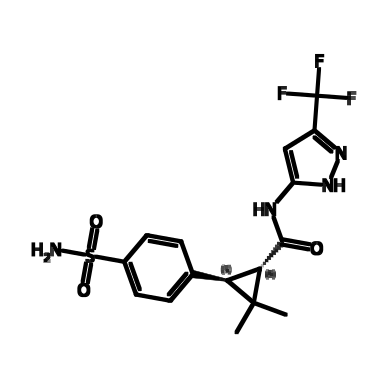 CC1(C)[C@@H](C(=O)Nc2cc(C(F)(F)F)n[nH]2)[C@@H]1c1ccc(S(N)(=O)=O)cc1